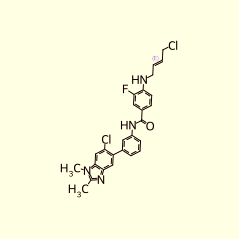 Cc1nc2cc(-c3cccc(NC(=O)c4ccc(NC/C=C/CCl)c(F)c4)c3)c(Cl)cc2n1C